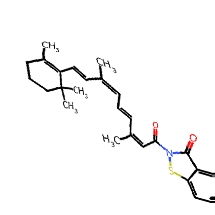 CC(C=CC1=C(C)CCCC1(C)C)=CC=CC(C)=CC(=O)n1sc2ccccc2c1=O